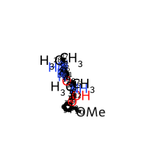 COCCc1ccccc1OCC(O)CNC(C)(C)COc1ccc(NN=C(C)C)nn1